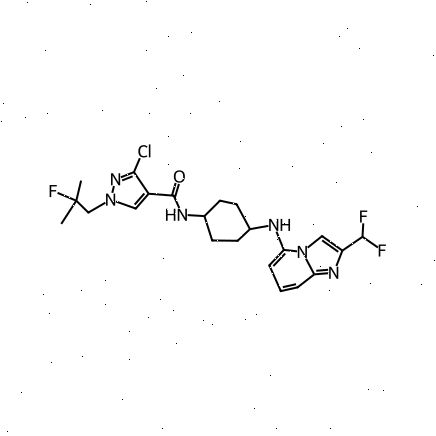 CC(C)(F)Cn1cc(C(=O)NC2CCC(Nc3cccc4nc(C(F)F)cn34)CC2)c(Cl)n1